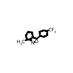 Cc1cccc2c(-c3ccc(C(F)(F)F)cc3)onc12